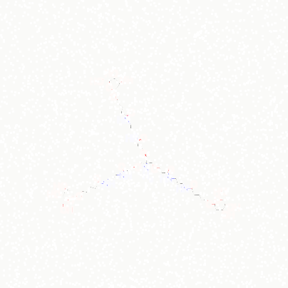 NC(COCCC(=O)NCCCNC(=O)CCCCOC1C[C@@H](O)[C@@H](O)[C@@H](CO)O1)(COCCC(=O)NCCCNC(=O)CCCCO[C@H]1C[C@@H](O)[C@@H](O)[C@@H](CO)O1)COCCC(=O)NCCCNC(=O)CCCCO[C@H]1C[C@@H](O)[C@@H](O)[C@@H](CO)O1